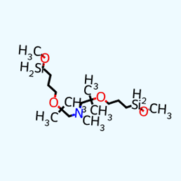 CO[SiH2]CCCOC(C)(C)CN(C)CC(C)(C)OCCC[SiH2]OC